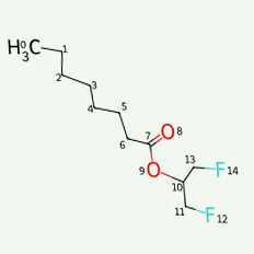 CCCCCCCC(=O)OC(CF)CF